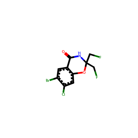 O=C1NC(CF)(CF)Oc2cc(Cl)c(Br)cc21